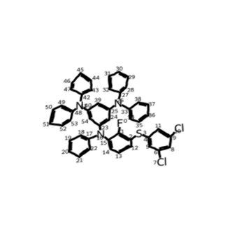 Fc1c(Sc2cc(Cl)cc(Cl)c2)cccc1N(c1ccccc1)c1cc(N(c2ccccc2)c2ccccc2)cc(N(c2ccccc2)c2ccccc2)c1